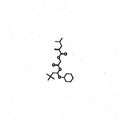 C=C(CC(C)C)C(=O)OCC(=O)OC(CC(C)(C)C)OC1CCCCC1